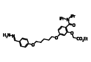 CCOC(=O)COc1cc(OCCCCCOc2ccc(C=NN)cc2)ccc1C(=O)N(C(C)C)C(C)C